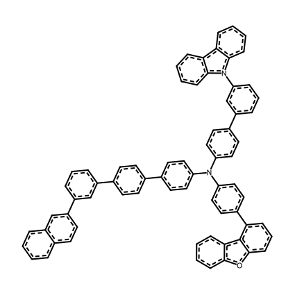 c1cc(-c2ccc(-c3ccc(N(c4ccc(-c5cccc(-n6c7ccccc7c7ccccc76)c5)cc4)c4ccc(-c5cccc6oc7ccccc7c56)cc4)cc3)cc2)cc(-c2ccc3ccccc3c2)c1